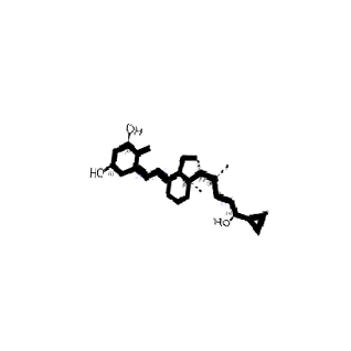 C=C1/C(=C\C=C2/CCC[C@@]3(C)C2CC[C@@H]3[C@H](C)/C=C/[C@@H](O)C2CC2)C[C@@H](O)C[C@@H]1O